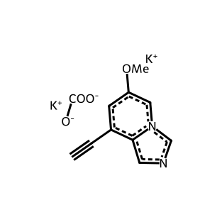 C#Cc1cc(OC)cn2cncc12.O=C([O-])[O-].[K+].[K+]